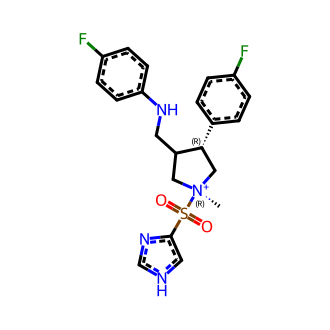 C[N@+]1(S(=O)(=O)c2c[nH]cn2)CC(CNc2ccc(F)cc2)[C@H](c2ccc(F)cc2)C1